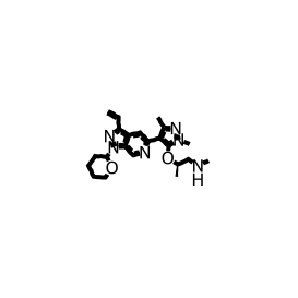 C=Cc1nn(C2CCCCO2)c2cnc(-c3c(C)nn(C)c3O[C@H](C)CNC)cc12